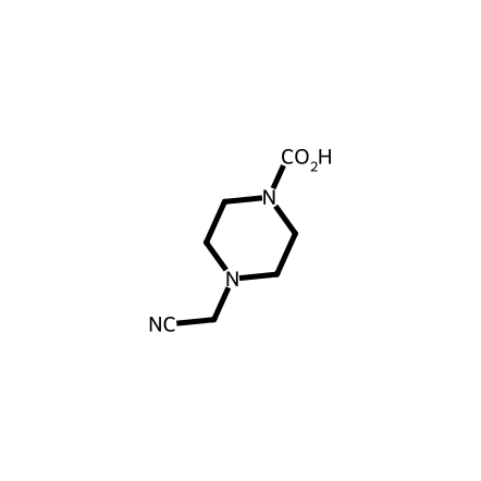 N#CCN1CCN(C(=O)O)CC1